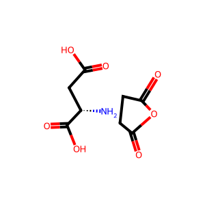 N[C@@H](CC(=O)O)C(=O)O.O=C1CCC(=O)O1